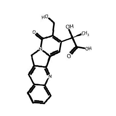 C[C@@](O)(C(=O)O)c1cc2n(c(=O)c1CO)Cc1cc3ccccc3nc1-2